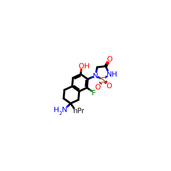 CCCC1(N)CCc2cc(O)c(N3CC(=O)NS3(=O)=O)c(F)c2C1